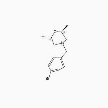 C[C@H]1CN(Cc2ccc(Br)cc2)C[C@H](C)O1